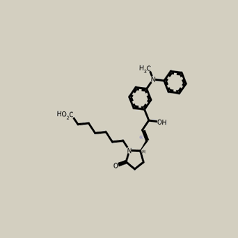 CN(c1ccccc1)c1cccc(C(O)/C=C/[C@H]2CCC(=O)N2CCCCCCC(=O)O)c1